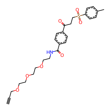 C#CCOCCOCCOCCNC(=O)c1ccc(C(=O)CCS(=O)(=O)c2ccc(C)cc2)cc1